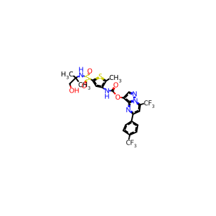 Cc1sc(S(=O)(=O)NC(C)(C)CO)cc1NC(=O)Oc1cnn2c(C(F)(F)F)cc(-c3ccc(C(F)(F)F)cc3)nc12